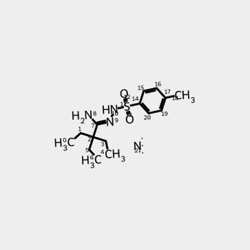 CCC(CC)(CC)C(N)=NNS(=O)(=O)c1ccc(C)cc1.[N]